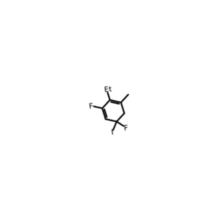 CCC1=C(C)CC(F)(I)C=C1F